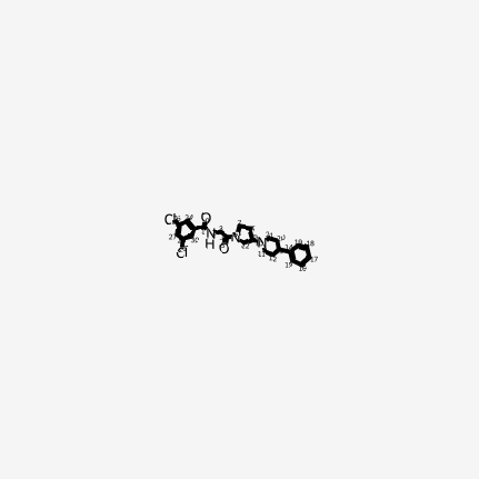 O=C(NCC(=O)N1CCC(N2CCC(c3ccccc3)CC2)C1)c1cc(Cl)cc(Cl)c1